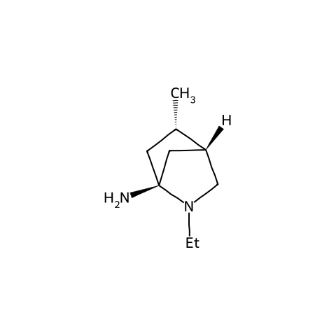 CCN1C[C@@H]2C[C@@]1(N)C[C@@H]2C